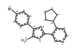 Cc1sc(-c2cnccc2C2CCCC2)nc1-c1ccc(Br)cc1